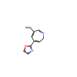 CNC1=CC(c2ncco2)=CCN=C1